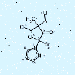 CC(CCl)(CCl)C(=O)C(Cl)(Br)n1cncn1